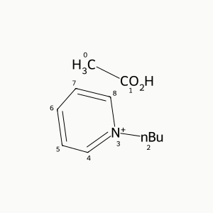 CC(=O)O.CCCC[n+]1ccccc1